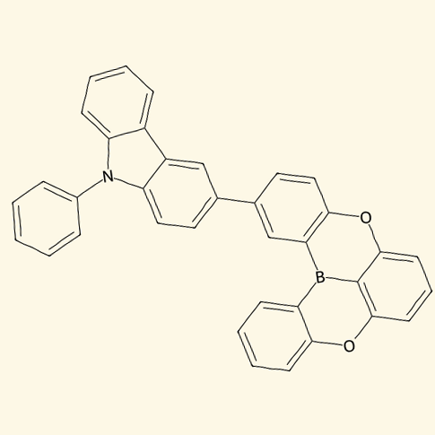 c1ccc(-n2c3ccccc3c3cc(-c4ccc5c(c4)B4c6ccccc6Oc6cccc(c64)O5)ccc32)cc1